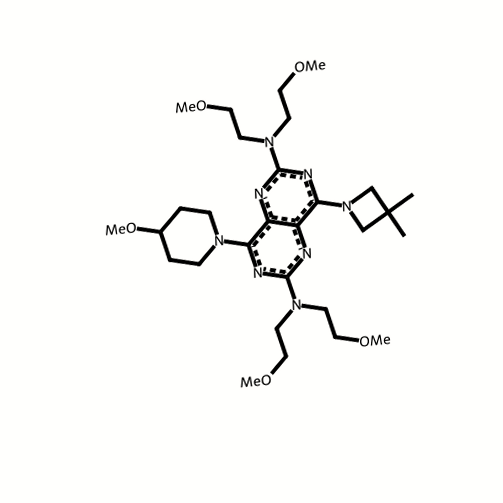 COCCN(CCOC)c1nc(N2CC(C)(C)C2)c2nc(N(CCOC)CCOC)nc(N3CCC(OC)CC3)c2n1